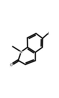 Cn1c(=O)ccc2cc(I)ccc21